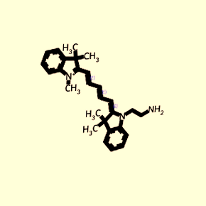 C[N+]1=C(/C=C/C=C/C=C2/N(CCN)c3ccccc3C2(C)C)C(C)(C)c2ccccc21